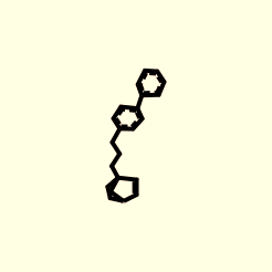 C1=CC2(CCCc3ccc(-c4ccccc4)cc3)CCC1C2